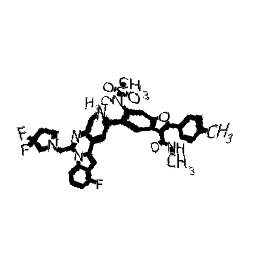 CNC(=O)c1c(-c2ccc(C)cc2)oc2cc(N(C)S(C)(=O)=O)c(-c3cc4c(cn3)nc(CN3CCC(F)(F)C3)n3c5cccc(F)c5cc43)cc12